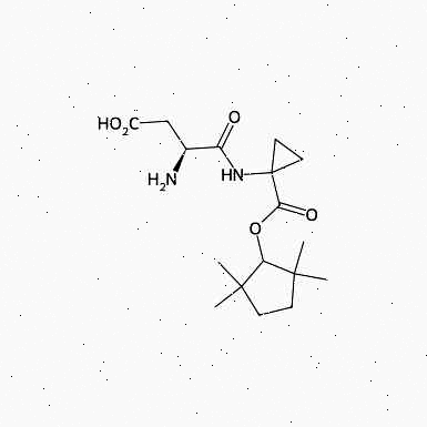 CC1(C)CCC(C)(C)C1OC(=O)C1(NC(=O)[C@@H](N)CC(=O)O)CC1